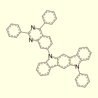 c1ccc(-c2nc(-c3ccccc3)c3ccc(-n4c5ccccc5c5cc6c(cc54)c4ccccc4n6-c4ccccc4)cc3n2)cc1